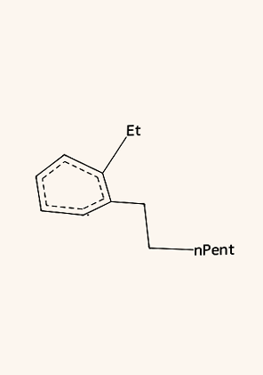 CCCCCCCc1[c]cccc1CC